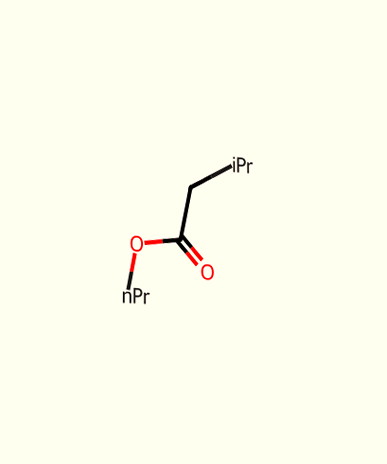 [CH2]CCOC(=O)CC(C)C